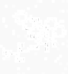 N=C(N)NCCC[C@H](NS(=O)(=O)c1cccc2cccnc12)C(=O)N[C@@H](Cc1ccccc1)C(N)=O